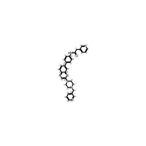 O=C(Cc1cccnc1)Nc1ccc(-c2ccc3ncc(N4CCN(Cc5cccnc5)CC4)nc3c2)cc1